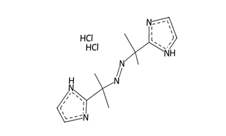 CC(C)(N=NC(C)(C)c1ncc[nH]1)c1ncc[nH]1.Cl.Cl